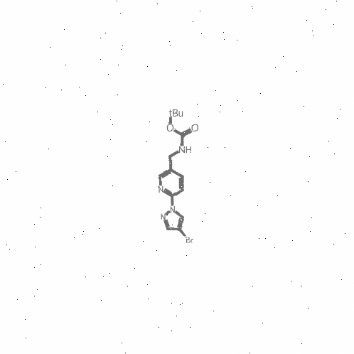 CC(C)(C)OC(=O)NCc1ccc(-n2cc(Br)cn2)nc1